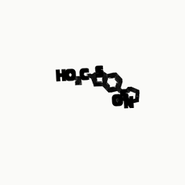 O=C(O)c1cc2cc(S3(=O)=NCCC3)ccc2s1